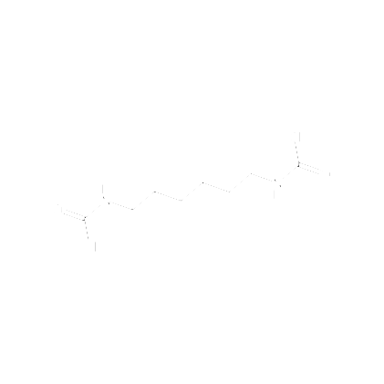 O=C(Cl)NCCCCCCNC(=O)Cl